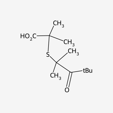 CC(C)(C)C(=O)C(C)(C)SC(C)(C)C(=O)O